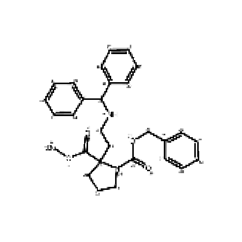 CC(C)(C)OC(=O)C1(CCNC(c2ccccc2)c2ccccc2)CCCN1C(=O)OCc1ccccc1